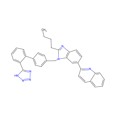 CCCCc1nc2ccc(-c3ccc4ccccc4n3)cc2n1Cc1ccc(-c2ccccc2-c2nnn[nH]2)cc1